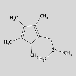 CC1=C(C)C(C)C([CH2][Zr]([CH3])[CH3])=C1C